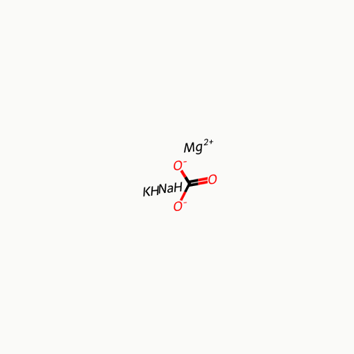 O=C([O-])[O-].[KH].[Mg+2].[NaH]